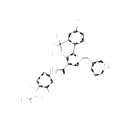 Cc1c(C(=O)Nc2ccc(S(N)(=O)=O)c(Cl)c2)cn(Cc2cccnc2)c1-c1ccc(F)cc1C(F)(F)F